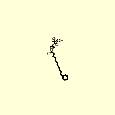 O=C(CCCCCCCCCCc1ccccc1)N1CC(OP(=O)(O)O)C1